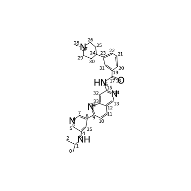 CC(C)Nc1cncc(-c2ccc3cnc(NC(=O)c4cccc(C5CCN(C)CC5)c4)cc3n2)c1